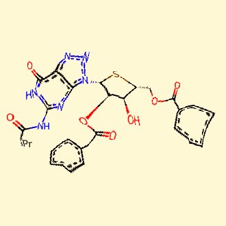 CC(C)C(=O)Nc1nc2c(nnn2[C@@H]2S[C@H](COC(=O)c3ccccc3)[C@@H](O)[C@H]2OC(=O)c2ccccc2)c(=O)[nH]1